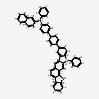 c1ccc(N(c2ccc(-c3ccc(-c4ccc5c(c4)c4cc6ccc7c8ccccc8sc7c6cc4n5-c4ccccc4)cc3)cc2)c2ccc3ccccc3c2)cc1